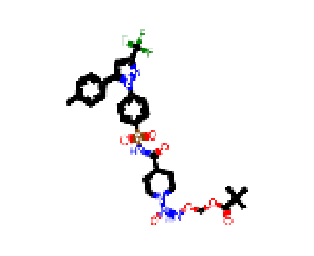 Cc1ccc(-c2cc(C(F)(F)F)nn2-c2ccc(S(=O)(=O)NC(=O)C3CCN(/[N+]([O-])=N\OCOC(=O)C(C)(C)C)CC3)cc2)cc1